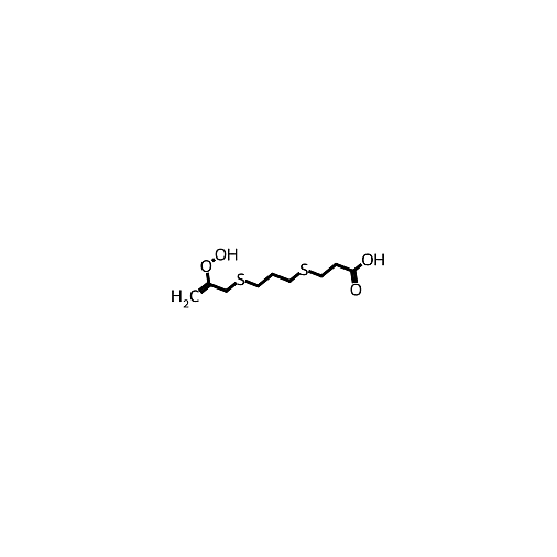 C=C(CSCCCSCCC(=O)O)OO